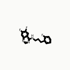 Fc1cc2ncnc(NCCCc3ccccc3F)c2cc1F